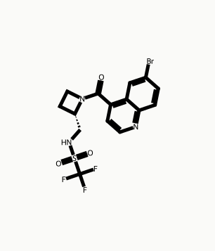 O=C(c1ccnc2ccc(Br)cc12)N1CC[C@H]1CNS(=O)(=O)C(F)(F)F